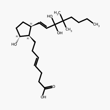 CCCCC(C)(C)C(O)(O)C=C[C@@H]1CC[C@@H](O)[C@@H]1CCC=CCCC(=O)O